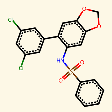 O=S(=O)(Nc1cc2c(cc1-c1cc(Cl)cc(Cl)c1)OCO2)c1ccccc1